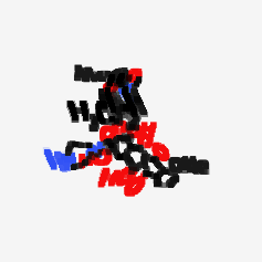 COc1cccc2c1C(=O)c1c(O)c3c(c(O)c1C2=O)C[C@@](O)(C(=O)N1CCCNCCC1)C[C@@H]3O[C@H]1C[C@H]2[C@H](O[C@@H]3[C@@H](OC)OCCN32)[C@H](C)O1